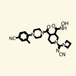 Cc1cc(C#N)ccc1N1CCN(C(=O)C2CCN(C(=NC#N)N3CCC3)CC2C(=O)NO)CC1